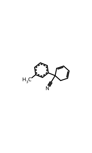 Cc1cccc(C2(C#N)C=CC=CC2)c1